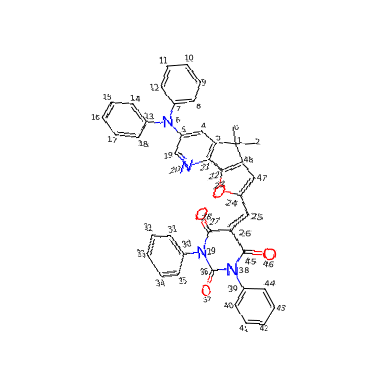 CC1(C)c2cc(N(c3ccccc3)c3ccccc3)cnc2-c2oc(C=C3C(=O)N(c4ccccc4)C(=O)N(c4ccccc4)C3=O)cc21